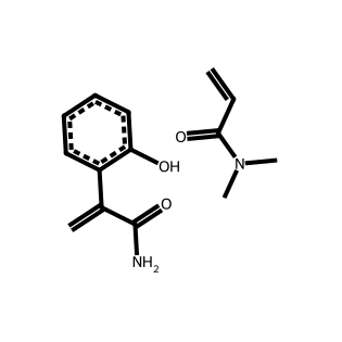 C=C(C(N)=O)c1ccccc1O.C=CC(=O)N(C)C